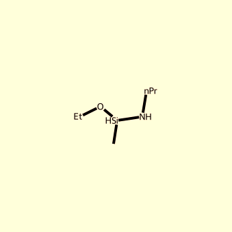 CCCN[SiH](C)OCC